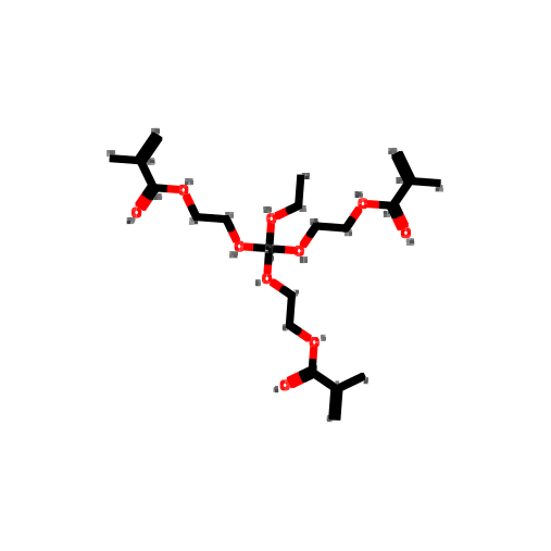 C=C(C)C(=O)OCCO[Si](OCC)(OCCOC(=O)C(=C)C)OCCOC(=O)C(=C)C